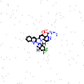 NC(=O)c1nccc2[nH]c(-c3cc4ccccc4nc3N3C[C@H]4CC(F)(F)C[C@@H]4C3)cc(=O)c12